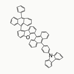 c1ccc(-c2c3ccccc3c(-c3cccc4oc5c(-c6c7ccccc7c(-c7ccc(-n8c9ccccc9c9ccccc98)cc7)c7ccccc67)cccc5c34)c3ccccc23)cc1